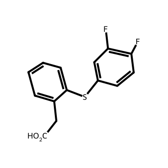 O=C(O)Cc1ccccc1Sc1ccc(F)c(F)c1